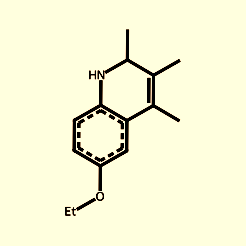 CCOc1ccc2c(c1)C(C)=C(C)C(C)N2